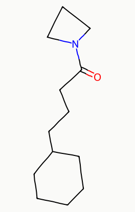 O=C(CCCC1CCCCC1)N1CCC1